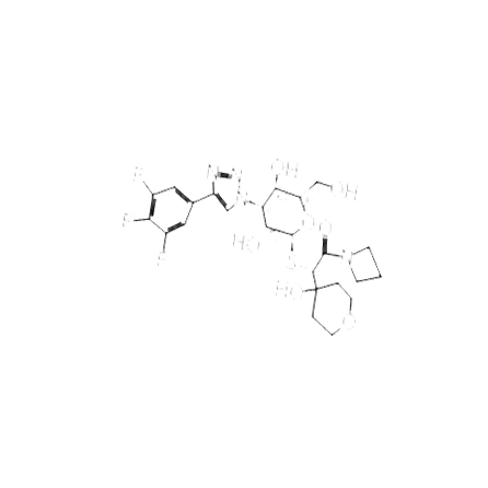 O=C([C@@H](S[C@@H]1O[C@H](CO)[C@H](O)[C@H](n2cc(-c3cc(F)c(F)c(F)c3)nn2)[C@H]1O)C1(O)CCOCC1)N1CCC1